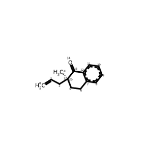 C=CC[C@]1(C)CCc2ccccc2C1=O